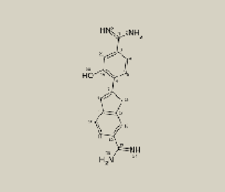 N=C(N)c1ccc(C2=Cc3ccc(C(=N)N)cc3C2)c(O)c1